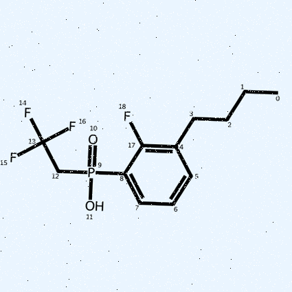 CCCCc1cccc(P(=O)(O)CC(F)(F)F)c1F